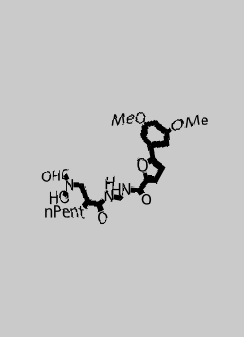 CCCCCC(CN(O)C=O)C(=O)NCNC(=O)c1ccc(-c2cc(OC)cc(OC)c2)o1